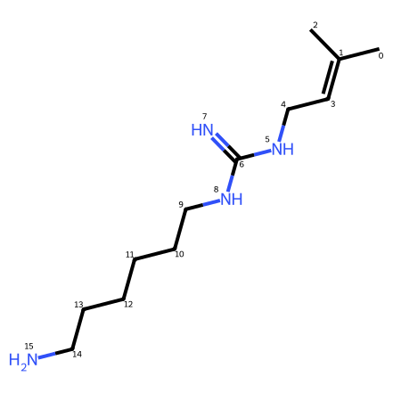 CC(C)=CCNC(=N)NCCCCCCN